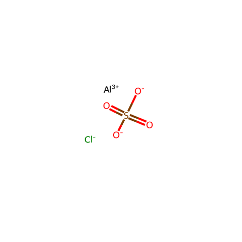 O=S(=O)([O-])[O-].[Al+3].[Cl-]